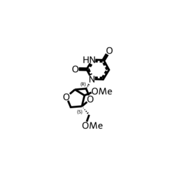 COC[C@]12COC(C1OC)[C@H](n1ccc(=O)[nH]c1=O)O2